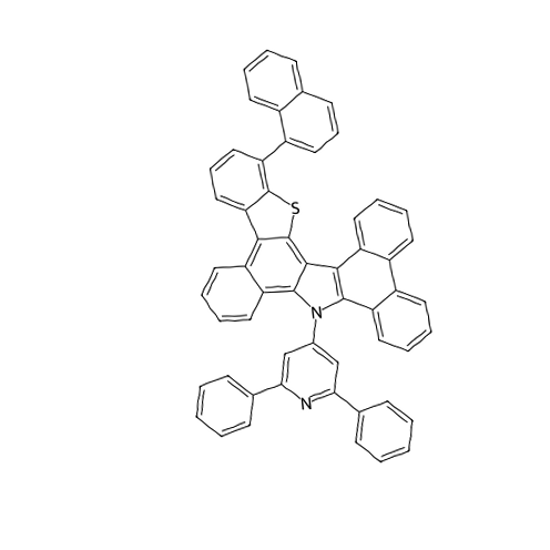 c1ccc(-c2cc(-n3c4c5ccccc5c5ccccc5c4c4c5sc6c(-c7cccc8ccccc78)cccc6c5c5ccccc5c43)cc(-c3ccccc3)n2)cc1